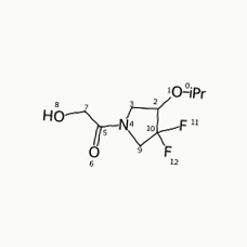 CC(C)OC1CN(C(=O)CO)CC1(F)F